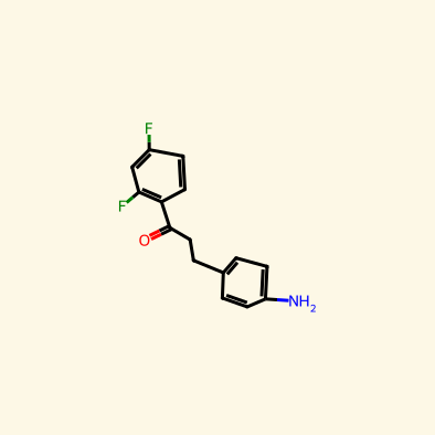 Nc1ccc(CCC(=O)c2ccc(F)cc2F)cc1